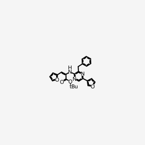 CC(C)(C)OC(=O)C(=Cc1ccco1)Nc1ncc(-c2ccoc2)nc1Cc1ccccc1